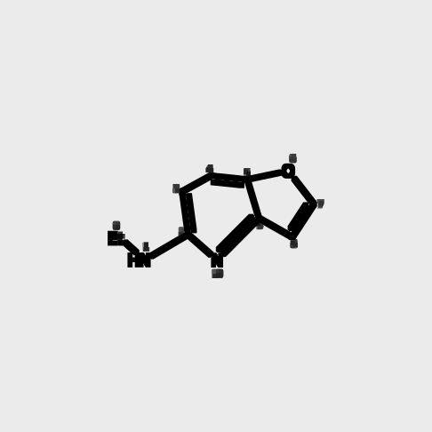 CCNc1ccc2occc2n1